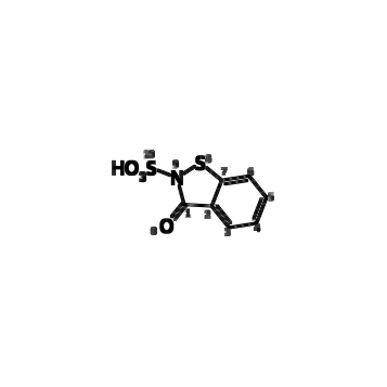 O=c1c2ccccc2sn1S(=O)(=O)O